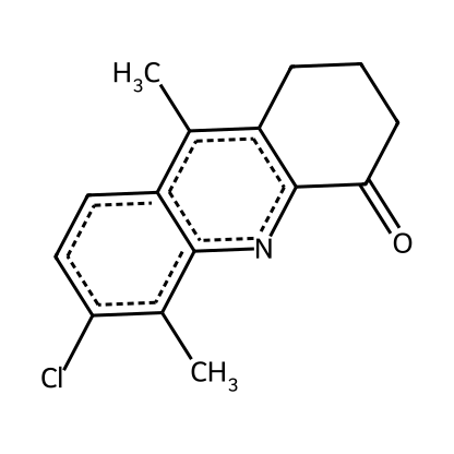 Cc1c2c(nc3c(C)c(Cl)ccc13)C(=O)CCC2